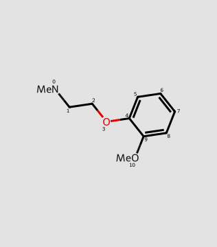 CNCCOc1ccccc1OC